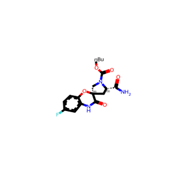 CCCCOC(=O)N1C[C@@]2(C[C@H]1C(N)=O)Oc1ccc(F)cc1NC2=O